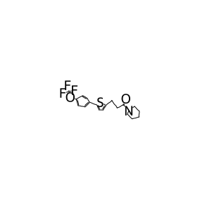 O=C(CCc1ccc(-c2ccc(OC(F)(F)F)cc2)s1)N1CCCCC1